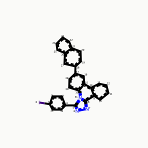 Ic1ccc(-c2nnc3c4ccccc4c4cc(-c5ccc6ccccc6c5)ccc4n23)cc1